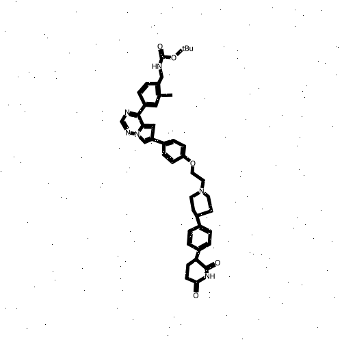 Cc1cc(-c2ncnn3cc(-c4ccc(OCCN5CCC(c6ccc(C7CCC(=O)NC7=O)cc6)CC5)cc4)cc23)ccc1CNC(=O)OC(C)(C)C